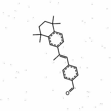 C/C(=C\c1ccc([C]=O)cc1)c1ccc2c(c1)C(C)(C)CCC2(C)C